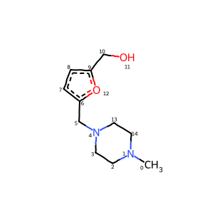 CN1CCN(Cc2ccc(CO)o2)CC1